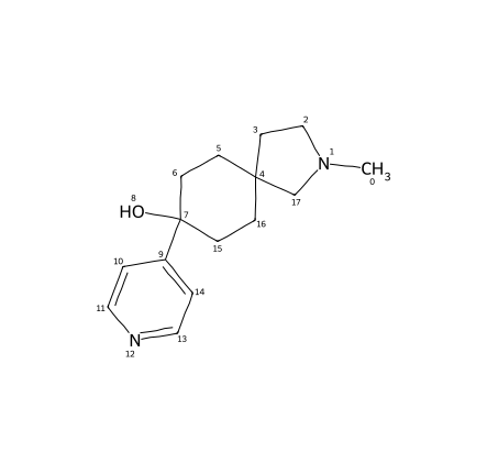 CN1CCC2(CCC(O)(c3ccncc3)CC2)C1